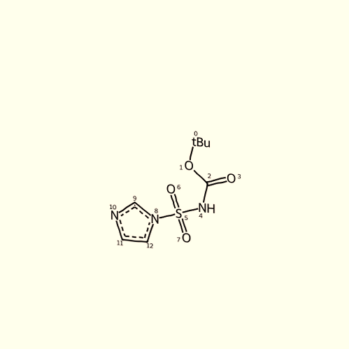 CC(C)(C)OC(=O)NS(=O)(=O)n1[c]ncc1